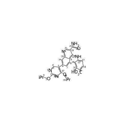 CC(C)Oc1ncc(-c2ccc3c(Nc4cccc(C(=O)O)c4)c(C(N)=O)cnc3c2)c(OC(C)C)n1